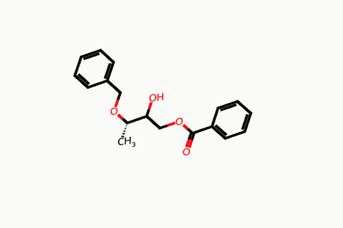 C[C@H](OCc1ccccc1)C(O)COC(=O)c1ccccc1